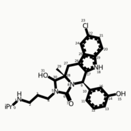 CC(C)NCCCN1C(=O)N2[C@H](c3cccc(O)c3)c3[nH]c4ccc(Cl)cc4c3C[C@@]2(C)C1O